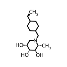 C=CC1CCC(CN2C[C@H](O)[C@@H](O)[C@H](O)[C@H]2C)CC1